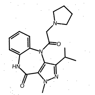 CC(C)c1nn(C)c2c1N(C(=O)CN1CCCC1)c1ccccc1NC2=O